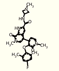 Cc1cc(F)cc(C)c1Oc1c(-c2cn(C)c(=O)c3[nH]c(C(=O)NC4CN(C)C4)cc23)ccn(C)c1=O